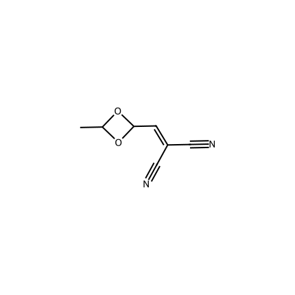 CC1OC(C=C(C#N)C#N)O1